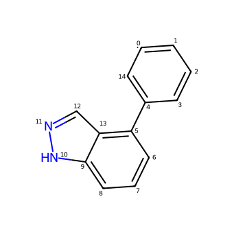 [c]1cccc(-c2cccc3[nH]ncc23)c1